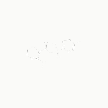 COc1ccccc1C(=O)CS(=O)(=O)c1ccc(C)cc1